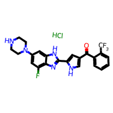 Cl.O=C(c1c[nH]c(-c2nc3c(F)cc(N4CCNCC4)cc3[nH]2)c1)c1ccccc1C(F)(F)F